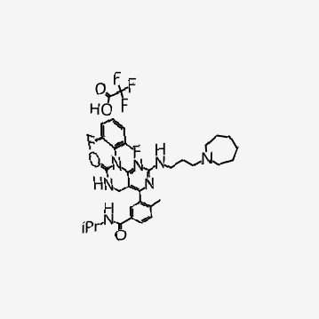 Cc1ccc(C(=O)NC(C)C)cc1-c1nc(NCCCN2CCCCCC2)nc2c1CNC(=O)N2c1c(F)cccc1F.O=C(O)C(F)(F)F